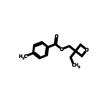 CCC1(COC(=O)c2ccc(C)cc2)COC1